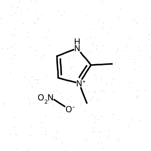 Cc1[nH]cc[n+]1C.O=[N+]([O-])[O-]